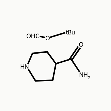 CC(C)(C)OC=O.NC(=O)C1CCNCC1